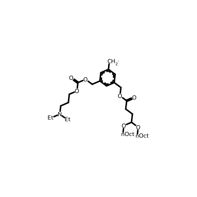 [CH2]c1cc(COC(=O)CCC(OCCCCCCCC)OCCCCCCCC)cc(COC(=O)OCCCN(CC)CC)c1